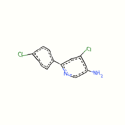 Nc1cnc(-c2ccc(Cl)cc2)cc1Cl